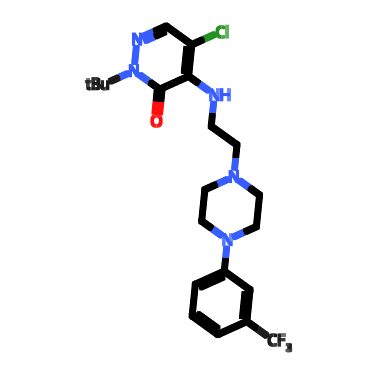 CC(C)(C)n1ncc(Cl)c(NCCN2CCN(c3cccc(C(F)(F)F)c3)CC2)c1=O